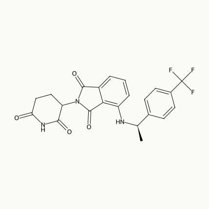 C[C@@H](Nc1cccc2c1C(=O)N(C1CCC(=O)NC1=O)C2=O)c1ccc(C(F)(F)F)cc1